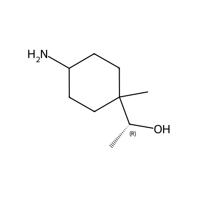 C[C@@H](O)C1(C)CCC(N)CC1